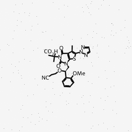 COc1ccccc1[C@H](Cn1c(=O)n(C(C)(C)C(=O)O)c(=O)c2c(C)c(-n3nccn3)sc21)OCCC#N